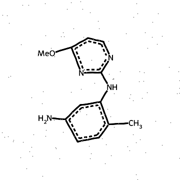 COc1ccnc(Nc2cc(N)ccc2C)n1